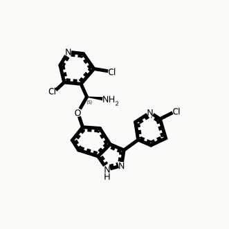 N[C@@H](Oc1ccc2[nH]nc(-c3ccc(Cl)nc3)c2c1)c1c(Cl)cncc1Cl